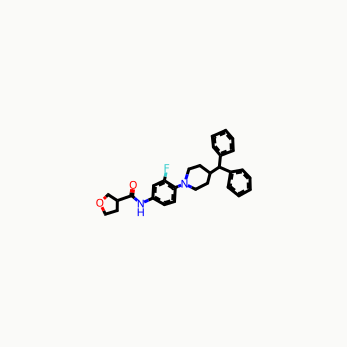 O=C(Nc1ccc(N2CCC(C(c3ccccc3)c3ccccc3)CC2)c(F)c1)C1CCOC1